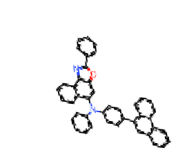 c1ccc(-c2nc3c(cc(N(c4ccccc4)c4ccc(-c5cc6ccccc6c6ccccc56)cc4)c4ccccc43)o2)cc1